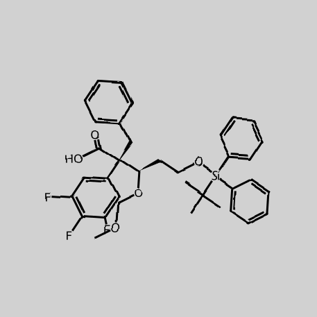 COCO[C@H](CCO[Si](c1ccccc1)(c1ccccc1)C(C)(C)C)[C@@](Cc1ccccc1)(C(=O)O)c1cc(F)c(F)c(F)c1